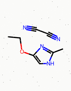 CCOc1c[nH]c(C)n1.N#CC#N